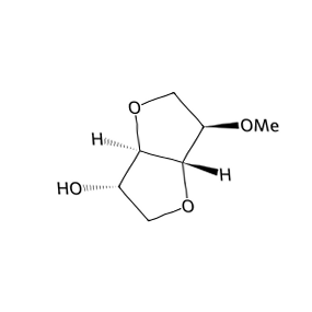 CO[C@@H]1CO[C@H]2[C@H]1OC[C@@H]2O